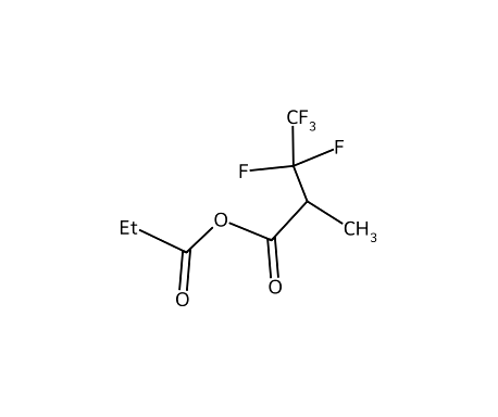 CCC(=O)OC(=O)C(C)C(F)(F)C(F)(F)F